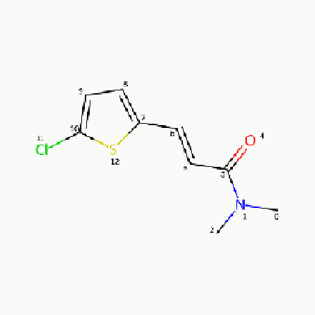 CN(C)C(=O)C=Cc1ccc(Cl)s1